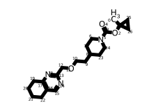 CC1(OC(=O)N2CCC(CCOCc3ncc4c(n3)CCCC4)CC2)CC1